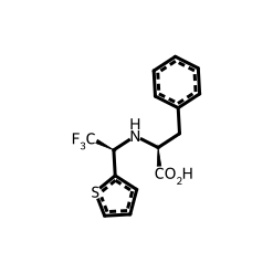 O=C(O)[C@H](Cc1ccccc1)N[C@@H](c1cccs1)C(F)(F)F